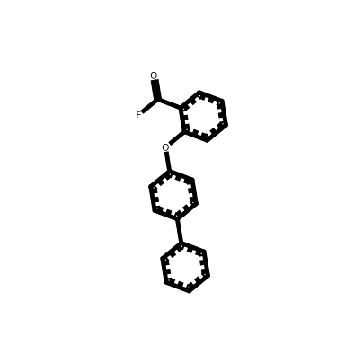 O=C(F)c1ccccc1Oc1ccc(-c2ccccc2)cc1